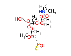 CCC(C)(OCC(C)(OCC(C)(OC)OC(=O)NC(C)C)C(=O)OCCO)C(=O)OCCP(=O)=S=S